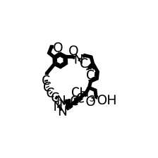 Cc1c2ccc3c1nnn3CCCCCc1ccc(c3c1CCO3)C(=O)N1CCc3ccc(cc3C1)C2CC(=O)O